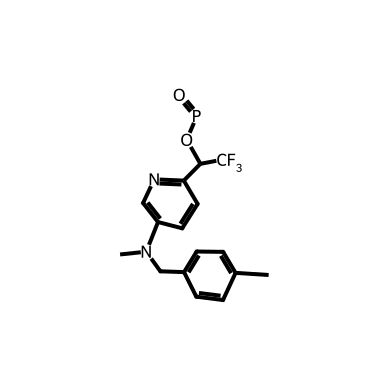 Cc1ccc(CN(C)c2ccc(C(OP=O)C(F)(F)F)nc2)cc1